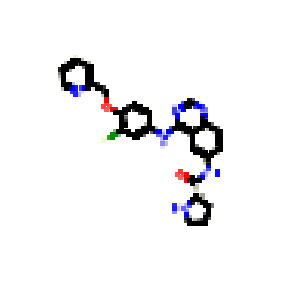 O=C(Nc1ccc2ncnc(Nc3ccc(OCc4ccccn4)c(Cl)c3)c2c1)[C@@H]1CCCN1